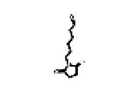 O=[C]CCCCCN1C(=O)CCC1=O